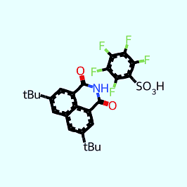 CC(C)(C)c1cc2c3c(cc(C(C)(C)C)cc3c1)C(=O)NC2=O.O=S(=O)(O)c1c(F)c(F)c(F)c(F)c1F